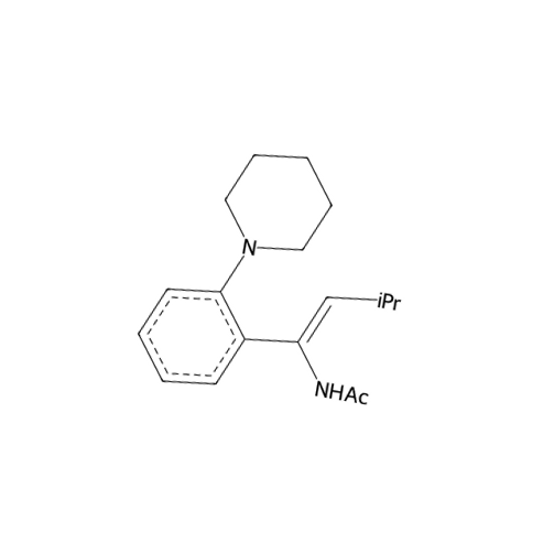 CC(=O)N/C(=C\C(C)C)c1ccccc1N1CCCCC1